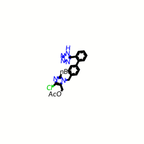 CCCCc1nc(Cl)c(COC(C)=O)n1Cc1ccc(-c2ccccc2-c2nnn[nH]2)cc1